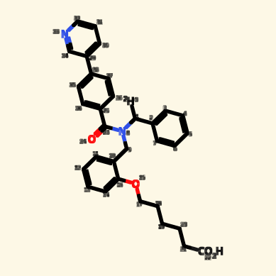 [2H]C(c1ccccc1)N(Cc1ccccc1OCCCCCC(=O)O)C(=O)c1ccc(-c2cccnc2)cc1